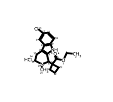 CCOC(=O)C1(C2c3[nH]c4ccc(Cl)cc4c3CCN2C)CCC1.Cl